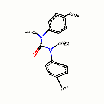 CCCCCCN(C(=O)N(CCCCCC)c1ccc(OC)cc1)c1ccc(OC)cc1